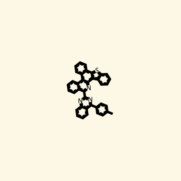 Cc1ccc(-c2nc(-c3nc4c(c5ccccc35)c3ccccc3c3sc5ccccc5c43)nc3ccccc23)cc1